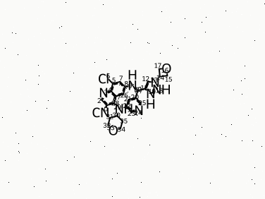 N#Cc1cnc2c(Cl)cc(N[C@H](C3=CN(C4COC4)NN3)c3cccnc3)cc2c1NC1CCOCC1